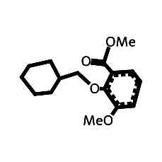 COC(=O)c1cccc(OC)c1OCC1CCCCC1